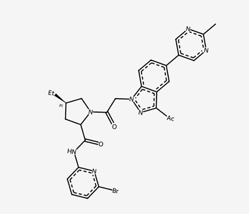 CC[C@@H]1CC(C(=O)Nc2cccc(Br)n2)N(C(=O)Cn2nc(C(C)=O)c3cc(-c4cnc(C)nc4)ccc32)C1